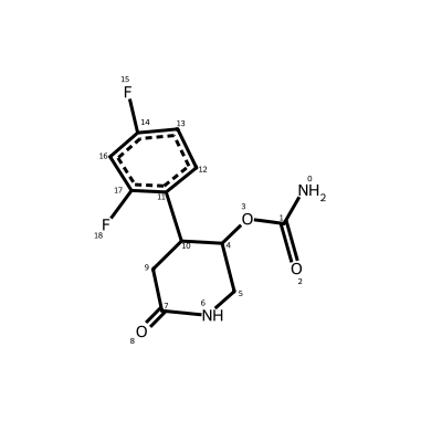 NC(=O)OC1CNC(=O)CC1c1ccc(F)cc1F